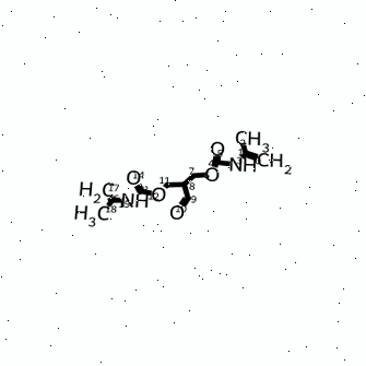 C=C(C)NC(=O)OCC(C=O)COC(=O)NC(=C)C